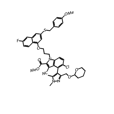 COC(=O)c1c(C#N)c2c(-c3c(COC4CCCCO4)nn(C)c3C)c(Cl)ccc2n1CCCOc1cc(SCc2ccc(OC)cc2)cc2cc(F)ccc12